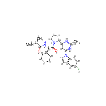 CNC(C)C(=O)N[C@H](C(=O)N1CCCC1c1cc(-n2ccc3cc(F)ccc32)nc(C)n1)C1CCCCC1